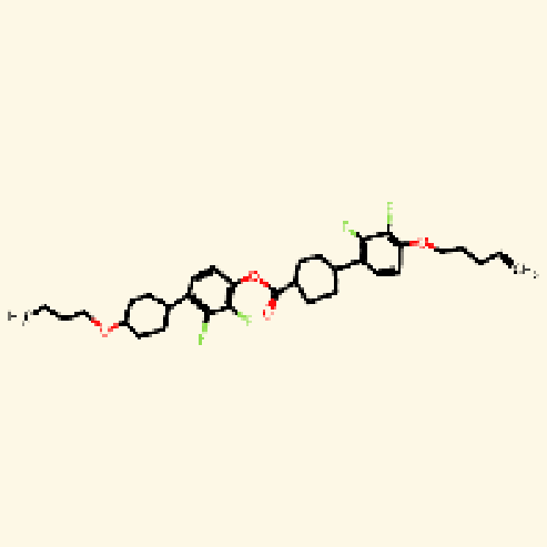 C=CCCCOc1ccc(C2CCC(C(=O)Oc3ccc(C4CCC(OCCCC)CC4)c(F)c3F)CC2)c(F)c1F